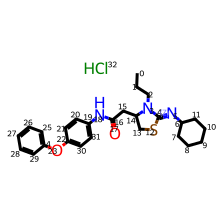 CCCN1/C(=N/C2CCCCC2)SCC1CC(=O)Nc1ccc(Oc2ccccc2)cc1.Cl